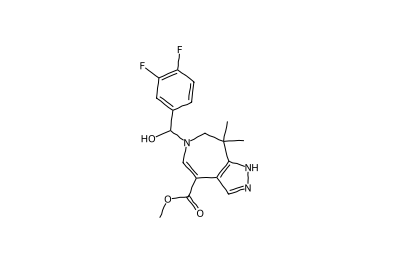 COC(=O)C1=CN(C(O)c2ccc(F)c(F)c2)CC(C)(C)c2[nH]ncc21